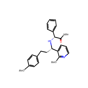 CNC(=O)[C@H](N[C@@H](CCc1ccc(OC)cc1)c1cccnc1OC)c1ccccc1